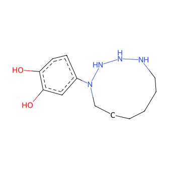 Oc1ccc(N2CCCCCCNNN2)cc1O